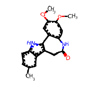 COc1cc2c(cc1OC)-c1[nH]c3ccc(C)cc3c1CC(=O)N2